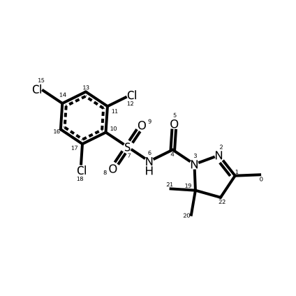 CC1=NN(C(=O)NS(=O)(=O)c2c(Cl)cc(Cl)cc2Cl)C(C)(C)C1